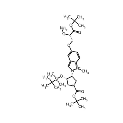 C[n+]1c2ccc(OC[C@H](ON)C(=O)OC(C)(C)C)cc2cn1[C@@H]1CN(C(=O)OC(C)(C)C)C[C@@H]1O[Si](C)(C)C(C)(C)C